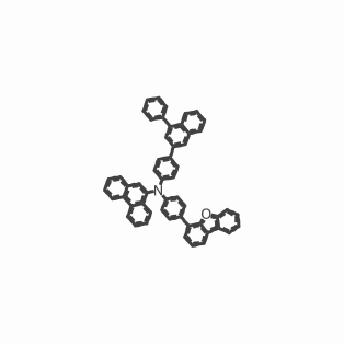 c1ccc(-c2cc(-c3ccc(N(c4ccc(-c5cccc6c5oc5ccccc56)cc4)c4cc5ccccc5c5ccccc45)cc3)cc3ccccc23)cc1